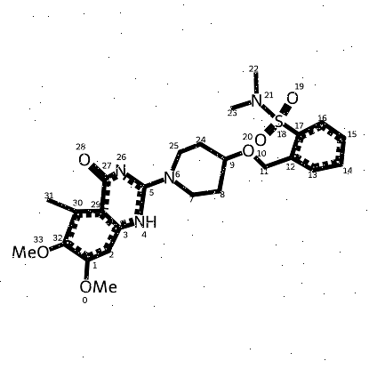 COc1cc2[nH]c(N3CCC(OCc4ccccc4S(=O)(=O)N(C)C)CC3)nc(=O)c2c(C)c1OC